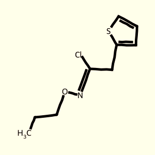 CCCON=C(Cl)Cc1cccs1